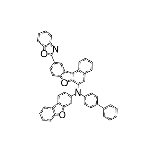 c1ccc(-c2ccc(N(c3ccc4c(c3)oc3ccccc34)c3cc4ccccc4c4c3oc3ccc(-c5nc6ccccc6o5)cc34)cc2)cc1